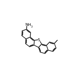 Cc1ccc2ccc3c4ccc5ccc(N)cc5c4sc3c2c1